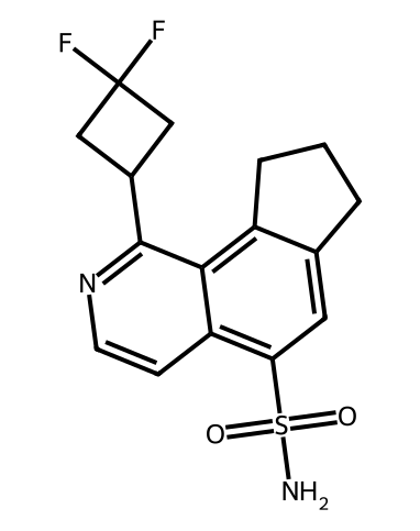 NS(=O)(=O)c1cc2c(c3c(C4CC(F)(F)C4)nccc13)CCC2